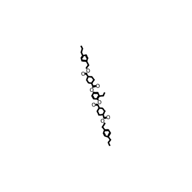 CCCc1ccc(CCOC(=O)C2CCC(C(=O)Oc3ccc(OC(=O)C4CCC(C(=O)OCCc5ccc(CCC)cc5)CC4)c(CC)c3)CC2)cc1